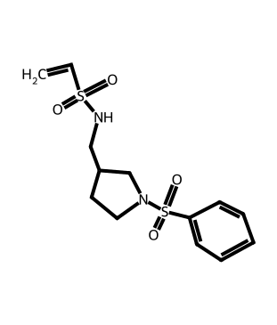 C=CS(=O)(=O)NCC1CCN(S(=O)(=O)c2ccccc2)C1